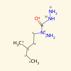 CCC(C)CCN(N)C(=O)NN